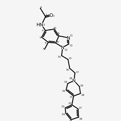 CC(=O)Nc1cc(C)c2c(c1)ncn2CCCCN1CC=C(c2ccccc2)CC1